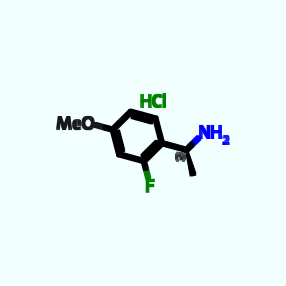 COc1ccc([C@H](C)N)c(F)c1.Cl